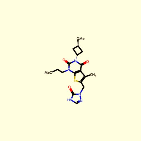 COCCn1c(=O)n([C@H]2C[C@H](OC)C2)c(=O)c2c(C)c(Cn3nc[nH]c3=O)sc21